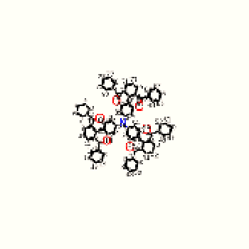 O=C(c1ccccc1)c1cccc(C(=O)c2ccccc2)c1-c1ccc(N(c2ccc(-c3c(C(=O)c4ccccc4)cccc3C(=O)c3ccccc3)cc2)c2ccc(-c3c(C(=O)c4ccccc4)cccc3C(=O)c3ccccc3)cc2)cc1